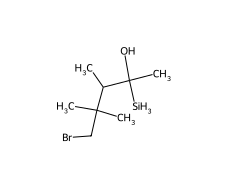 CC(C(C)(O)[SiH3])C(C)(C)CBr